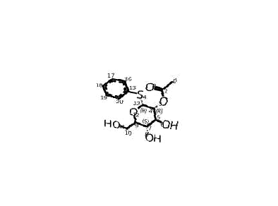 CC(=O)O[C@@H]1C(O)[C@H](O)C(CO)O[C@@H]1Sc1ccccc1